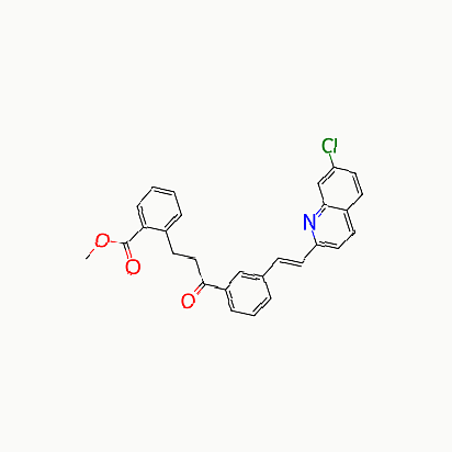 COC(=O)c1ccccc1CCC(=O)c1cccc(C=Cc2ccc3ccc(Cl)cc3n2)c1